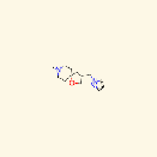 CN1CCC2(CC1)CC(Cn1cccn1)CO2